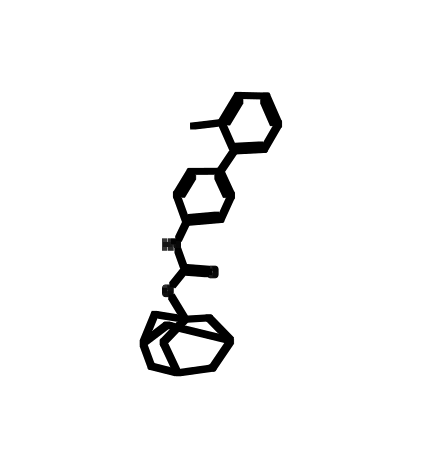 Cc1ccccc1-c1ccc(NC(=O)OC23CC4CC(CC(C4)C2)C3)cc1